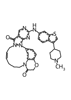 CN1CCC(c2csc3cc(Nc4ncc5c(=O)n6n(c5n4)-c4ccc5c(c4)N(CCC/C=C\C6)C(=O)CO5)ccc23)CC1